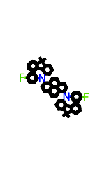 CC1(C)c2ccccc2-c2c(N(c3ccc(F)cc3)c3ccc4ccc5c(N(c6ccc(F)cc6)c6cccc7c6-c6ccccc6C7(C)C)ccc6ccc3c4c65)cccc21